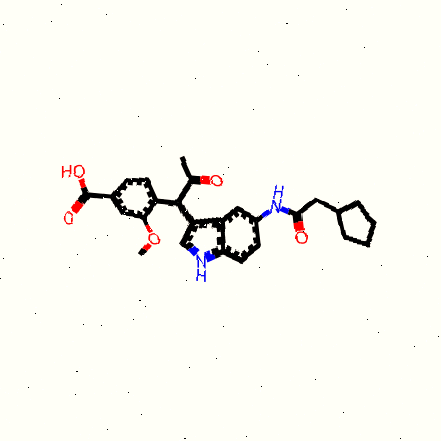 COc1cc(C(=O)O)ccc1C(C(C)=O)c1c[nH]c2ccc(NC(=O)CC3CCCC3)cc12